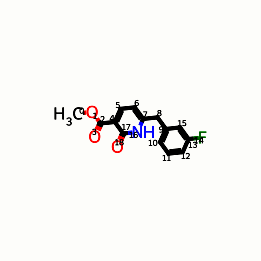 COC(=O)c1ccc(Cc2cccc(F)c2)[nH]c1=O